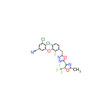 Cc1nc(-c2nnc(Cc3ccc(Cl)c(Oc4cc(Cl)cc(C#N)c4)c3F)o2)c(C(F)(F)F)o1